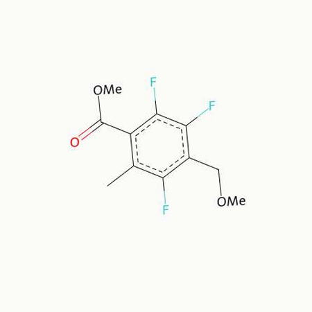 COCc1c(F)c(C)c(C(=O)OC)c(F)c1F